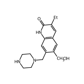 CCc1cc2cc(C)c(CN3CCNCC3)cc2[nH]c1=O.Cl